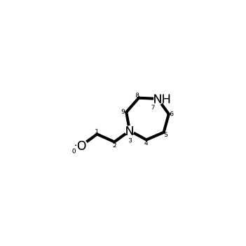 [O]CCN1CCCNCC1